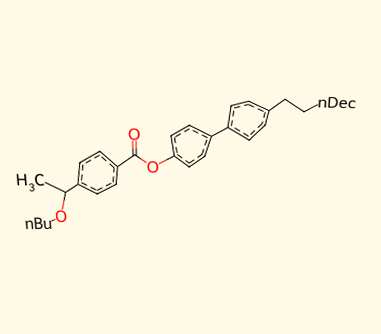 CCCCCCCCCCCCc1ccc(-c2ccc(OC(=O)c3ccc(C(C)OCCCC)cc3)cc2)cc1